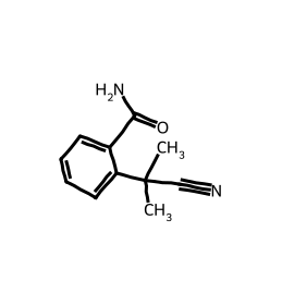 CC(C)(C#N)c1ccccc1C(N)=O